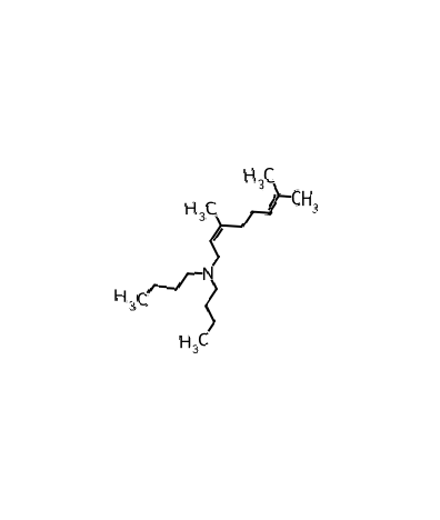 CCCCN(C/C=C(/C)CCC=C(C)C)CCCC